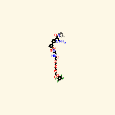 CCCN(CCC)C(=O)C1=Cc2ccc(-c3cccc(S(=O)(=O)N4CC(CNC(=O)CCOCCOCCOCCC(=O)Oc5c(F)c(F)cc(F)c5F)C4)c3)cc2N=C(N)C1